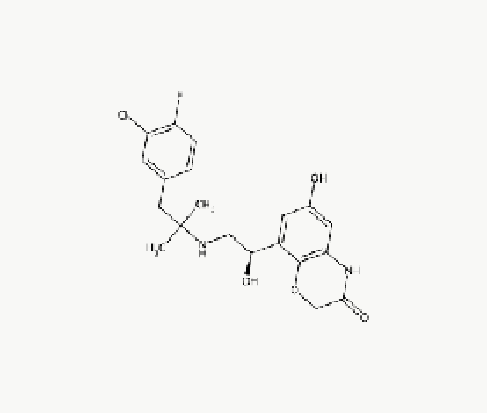 CC(C)(Cc1ccc(F)c(Cl)c1)NC[C@H](O)c1cc(O)cc2c1OCC(=O)N2